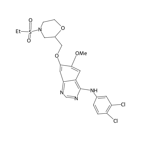 CCS(=O)(=O)N1CCOC(COc2cc3ncnc(Nc4ccc(Cl)c(Cl)c4)c3cc2OC)C1